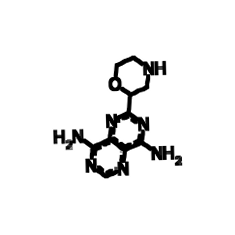 Nc1nc(C2CNCCO2)nc2c(N)ncnc12